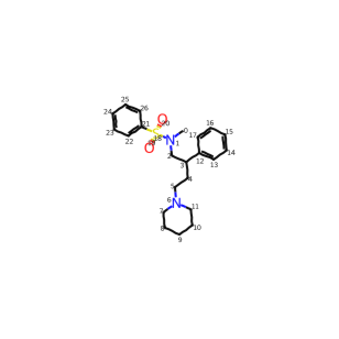 CN(CC(CCN1CCCCC1)c1ccccc1)S(=O)(=O)c1ccccc1